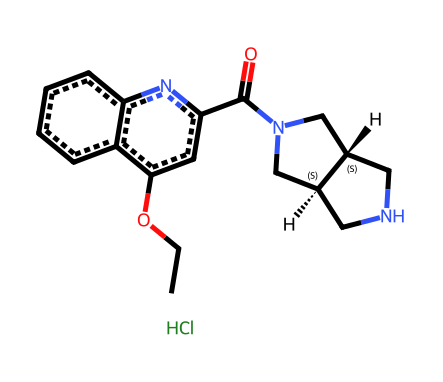 CCOc1cc(C(=O)N2C[C@@H]3CNC[C@H]3C2)nc2ccccc12.Cl